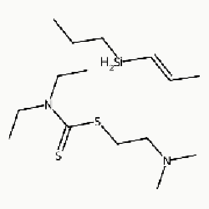 CC=C[SiH2]CCC.CCN(CC)C(=S)SCCN(C)C